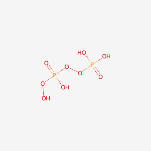 O=P(O)(O)OOP(=O)(O)OO